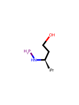 CC(C)[C@H](CCO)NP